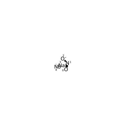 O=N[O-].[Na+].[Nb]